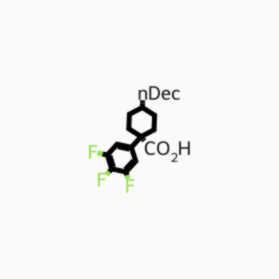 CCCCCCCCCCC1CCC(C(=O)O)(c2cc(F)c(F)c(F)c2)CC1